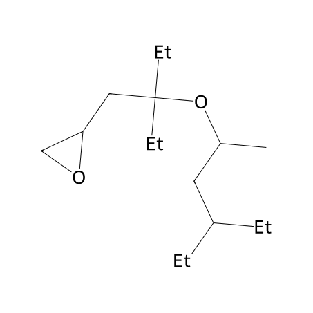 CCC(CC)CC(C)OC(CC)(CC)CC1CO1